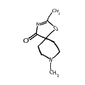 CC1=NC(=O)C2(CCN(C)CC2)O1